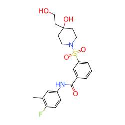 Cc1cc(NC(=O)c2cccc(S(=O)(=O)N3CCC(O)(CCO)CC3)c2)ccc1F